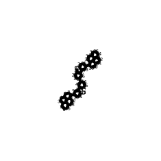 c1cc2ccc3ccc(-c4ccc5sc6ccc(-c7ccc8sc9ccc(-c%10ccc%11ccc%12cccc%13ccc%10c%11c%12%13)cc9c8c7)cc6c5c4)c4ccc(c1)c2c34